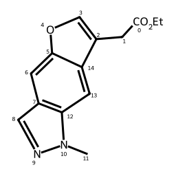 CCOC(=O)Cc1coc2cc3cnn(C)c3cc12